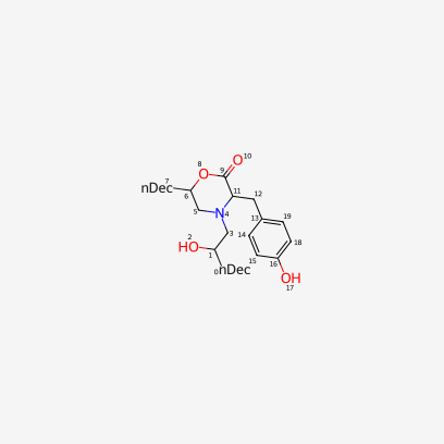 CCCCCCCCCCC(O)CN1CC(CCCCCCCCCC)OC(=O)C1Cc1ccc(O)cc1